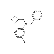 Brc1cncc(N(Cc2ccccc2)CN2CCC2)c1